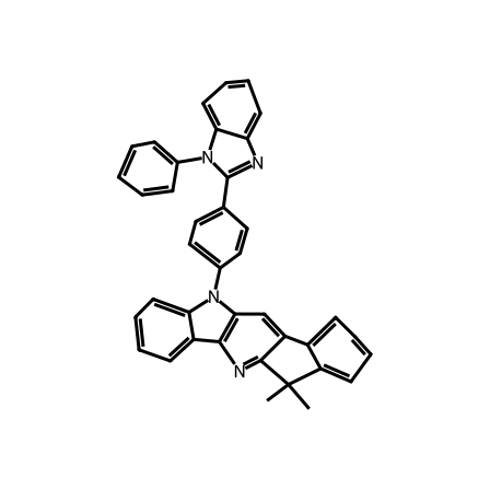 CC1(C)c2ccccc2-c2cc3c(nc21)c1ccccc1n3-c1ccc(-c2nc3ccccc3n2-c2ccccc2)cc1